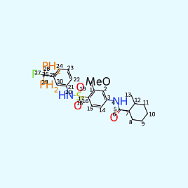 COc1cc(NC(=O)C2CCCCC2C)ccc1S(=O)(=O)Nc1cccc(C(F)(P)P)c1